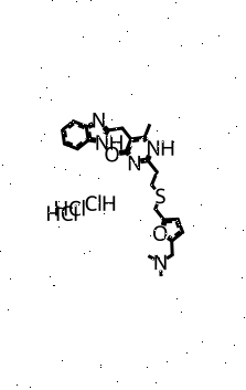 Cc1[nH]c(CCSCc2ccc(CN(C)C)o2)nc(=O)c1Cc1nc2ccccc2[nH]1.Cl.Cl.Cl